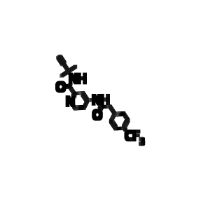 C#CC(C)(C)NC(=O)c1cc(NC(=O)Cc2ccc(C(F)(F)F)cc2)ccn1